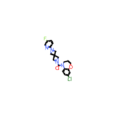 O=C(N1CC2(C1)CN(c1ccc(F)cn1)C2)N1CCCOc2cc(Cl)ccc21